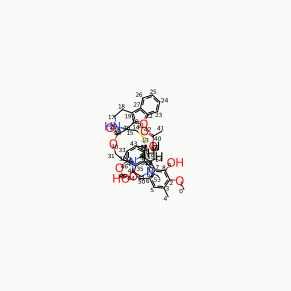 COc1c(C)cc2c(c1O)[C@H]1[C@@H]3[C@@H]4SC[C@]5(NCCc6c5oc5ccccc65)C(=O)OCC(c5c6c(c(C)c(OC(C)=O)c54)OCO6)N3C(O)(C2)CN1C